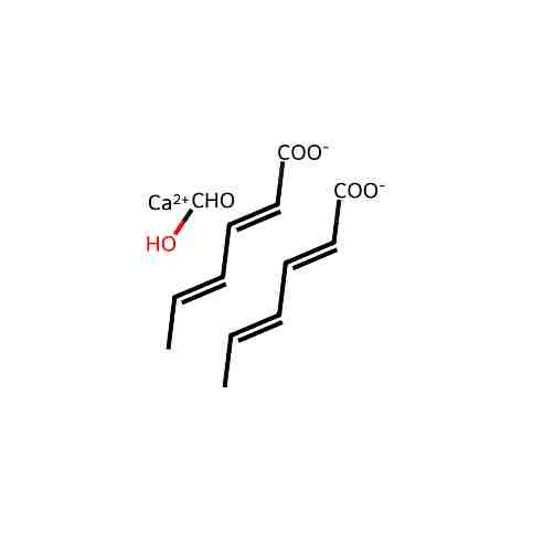 CC=CC=CC(=O)[O-].CC=CC=CC(=O)[O-].O=CO.[Ca+2]